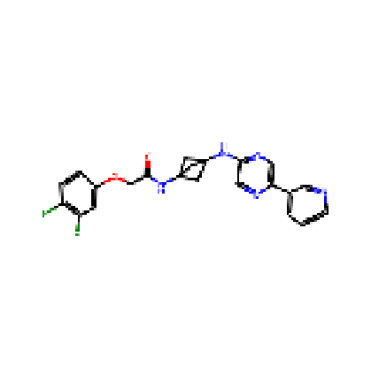 O=C(COc1ccc(F)c(F)c1)NC12CC(Nc3cnc(-c4cccnc4)cn3)(C1)C2